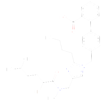 CCCCc1nc(CN(C)C(=O)C(S)CCC(C)C)cn1Cc1ccc(-c2ccccc2C(=O)O)cc1